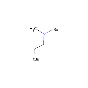 CCC(C)N(C)CCC(C)(C)C